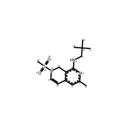 Cc1cc2c(c(NCC(C)(C)C)n1)CN(S(C)(=O)=O)C=C2